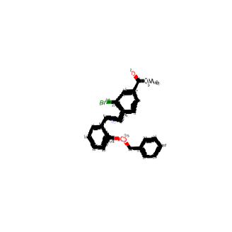 COC(=O)c1ccc(/C=C/c2ccccc2OCc2ccccc2)c(Br)c1